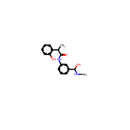 CC(C(=O)Nc1cccc(C(O)NC(C)(C)C)c1)c1ccccc1O